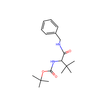 CC(C)(C)OC(=O)NC(C(=O)NCc1ccccc1)C(C)(C)C